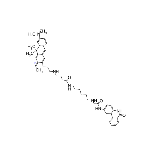 C/C=c1/cc2c(cc1CCCNCCCC(=O)NCCCCCCNCC(=O)Nc1ccc3[nH]c(=O)c4ccccc4c3c1)=Cc1ccc(N(C)C)cc1C2(C)C